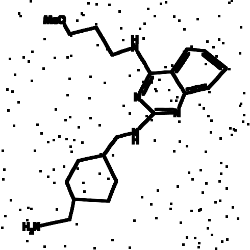 COCCCNc1nc(NCC2CCC(CN)CC2)nc2ccccc12